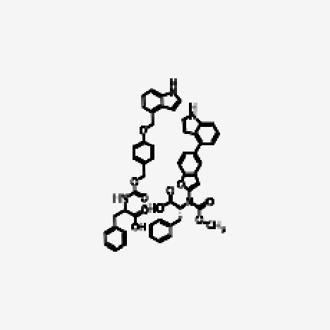 COC(=O)N(c1cc2cc(-c3cccc4[nH]ccc34)ccc2o1)[C@H](Cc1ccccc1)C(=O)O.O=C(NC(Cc1ccccc1)C(=O)O)OCc1ccc(OCc2cccc3[nH]ccc23)cc1